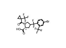 O=C(O)[C@@H]1CC(C(F)(F)c2ccc(Br)cc2C(F)(F)F)CN1C(=O)C1(C(F)(F)F)CC1